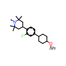 CCCOC1CCC(c2ccc(C3CC(C)(C)N(C)C(C)(C)C3)c(F)c2)CC1